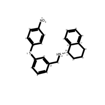 O=[N+]([O-])c1ccc(Sc2cccc(CN[C@H]3CCCc4ccccc43)c2)cc1